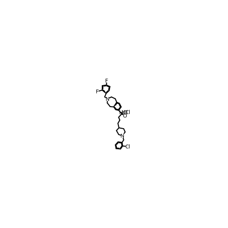 Cl.Cl.O=C(CCCC1CCN(Cc2ccccc2Cl)CC1)c1ccc2c(c1)CCN(Cc1ccc(F)cc1F)CC2